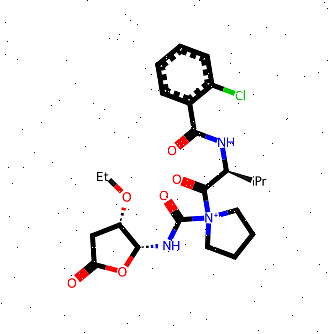 CCO[C@H]1CC(=O)O[C@H]1NC(=O)[N+]1(C(=O)[C@@H](NC(=O)c2ccccc2Cl)C(C)C)CCCC1